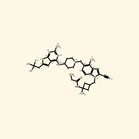 CCC(=O)NC1(C)CC(Cn2c(C#N)cc3c(C)c(CN4CCC(Nc5nc(C)nc6sc(CC(F)(F)F)cc56)CC4)ccc32)C1